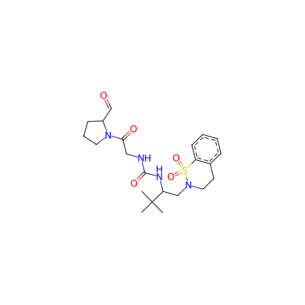 CC(C)(C)C(CN1CCc2ccccc2S1(=O)=O)NC(=O)NCC(=O)N1CCCC1C=O